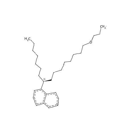 [CH2]CCOCCCCCCCC[C@H](CCCCCCC)c1cccc2ccccc12